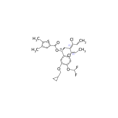 C=C/C(Cl)=C(C[C@H](OC(=O)c1cc(C)c(C)s1)c1ccc(OC(F)F)c(OCC2CC2)c1)\C(Cl)=C/C